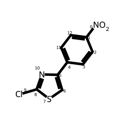 O=[N+]([O-])c1[c]cc(-c2csc(Cl)n2)cc1